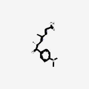 CC(/C=C/C(=O)O)=C\[C@@H](C)C(=O)c1ccc(N(C)C)cc1